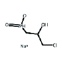 O=[PH]([O-])CC(O)CCl.[Na+]